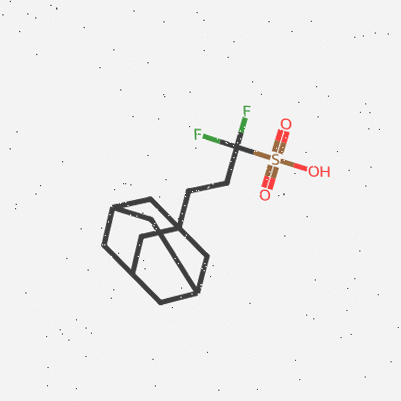 O=S(=O)(O)C(F)(F)CCC12CC3CC(CC(C3)C1)C2